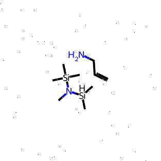 C=CCN.CN([SiH](C)C)[Si](C)(C)C